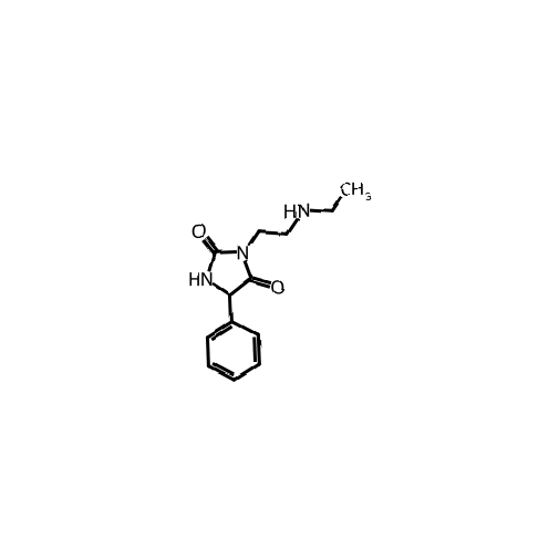 CCNCCN1C(=O)NC(c2ccccc2)C1=O